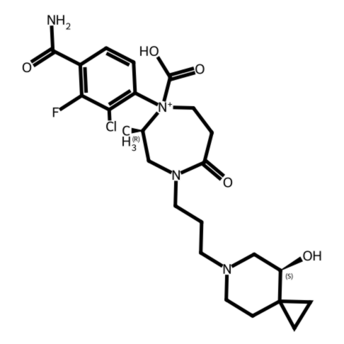 C[C@@H]1CN(CCCN2CCC3(CC3)[C@H](O)C2)C(=O)CC[N+]1(C(=O)O)c1ccc(C(N)=O)c(F)c1Cl